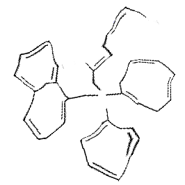 C/C=C\C=C(/C)[PH](c1ccccc1)(c1ccccc1)c1cccc2ccccc12